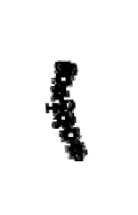 Cc1cc(NC(=O)c2ccn(-c3ccc(S(C)(=O)=O)cc3)c2)cnc1C1=CCC(N2CCOCC2)CC1